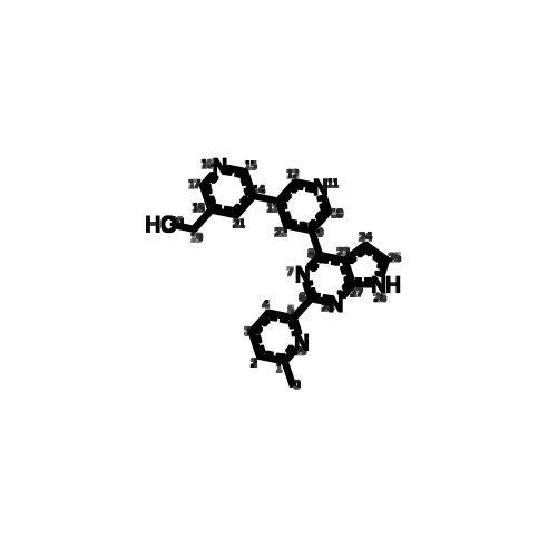 Cc1cccc(-c2nc(-c3cncc(-c4cncc(CO)c4)c3)c3cc[nH]c3n2)n1